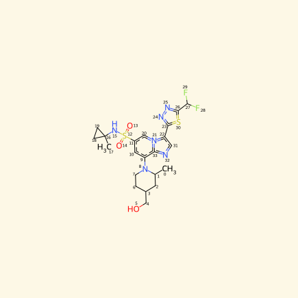 CC1CC(CO)CCN1c1cc(S(=O)(=O)NC2(C)CC2)cn2c(-c3nnc(C(F)F)s3)cnc12